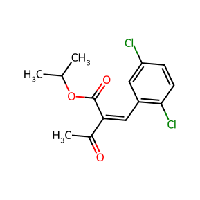 CC(=O)C(=Cc1cc(Cl)ccc1Cl)C(=O)OC(C)C